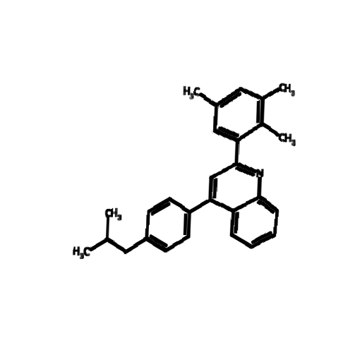 Cc1cc(C)c(C)c(-c2cc(-c3ccc(CC(C)C)cc3)c3ccccc3n2)c1